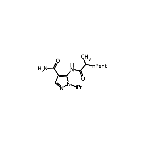 CCCCCC(C)C(=O)Nc1c(C(N)=O)cnn1C(C)C